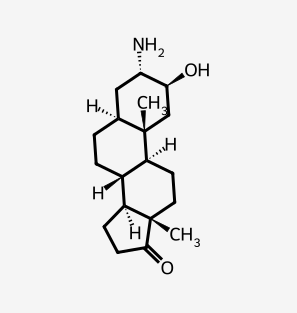 C[C@]12C[C@H](O)[C@@H](N)C[C@@H]1CC[C@@H]1[C@@H]2CC[C@]2(C)C(=O)CC[C@@H]12